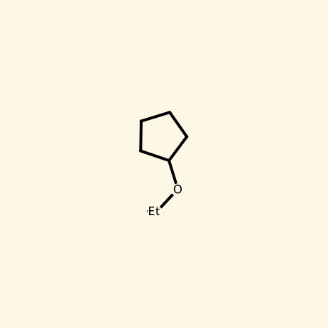 C[CH]OC1CCCC1